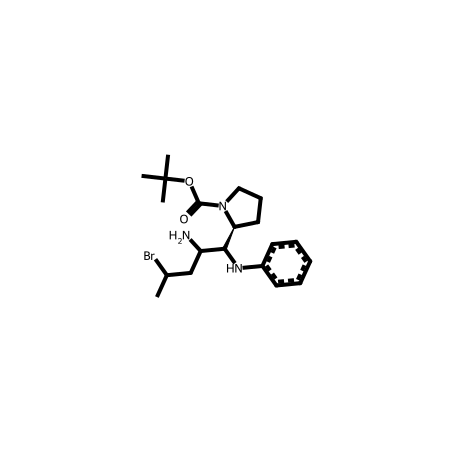 CC(Br)CC(N)C(Nc1ccccc1)[C@@H]1CCCN1C(=O)OC(C)(C)C